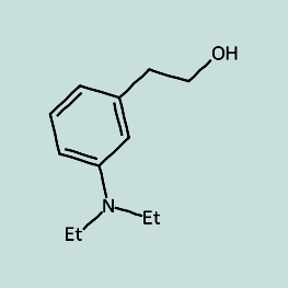 CCN(CC)c1cccc(CCO)c1